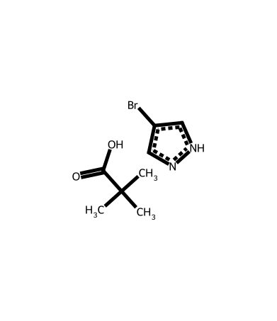 Brc1cn[nH]c1.CC(C)(C)C(=O)O